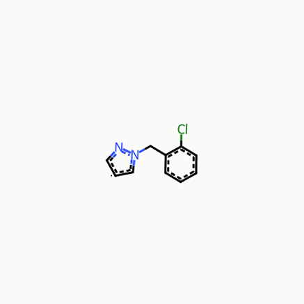 Clc1ccccc1Cn1c[c]cn1